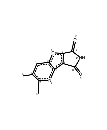 Cc1cc2oc3c(c2nc1C)C(=O)NC3=O